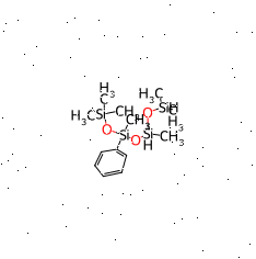 C[SiH](C)O[SiH](C)O[Si](C)(O[Si](C)(C)C)c1ccccc1